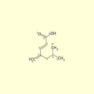 C=C(C=CC(=O)O)CC(C)C